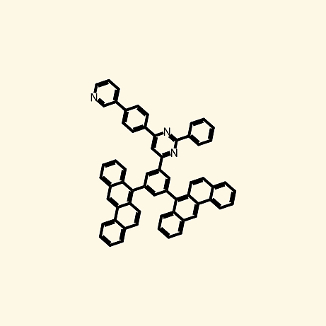 c1ccc(-c2nc(-c3ccc(-c4cccnc4)cc3)cc(-c3cc(-c4c5ccccc5cc5c4ccc4ccccc45)cc(-c4c5ccccc5cc5c4ccc4ccccc45)c3)n2)cc1